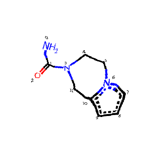 NC(=O)N1CCn2cccc2C1